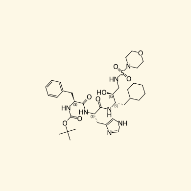 CC(C)(C)OC(=O)N[C@@H](Cc1ccccc1)C(=O)N[C@@H](Cc1c[nH]cn1)C(=O)N[C@@H](CC1CCCCC1)[C@@H](O)CNS(=O)(=O)N1CCOCC1